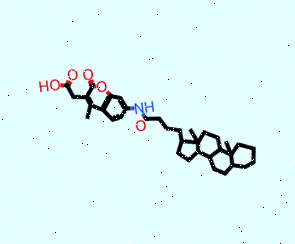 Cc1c(CC(=O)O)c(=O)oc2cc(NC(=O)CCCC3CCC4C5CCC6CCCCC6(C)C5CCC34C)ccc12